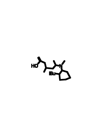 C=C(O)CC(C)CC(C)N(C)C1CCCCC1C(C)CC